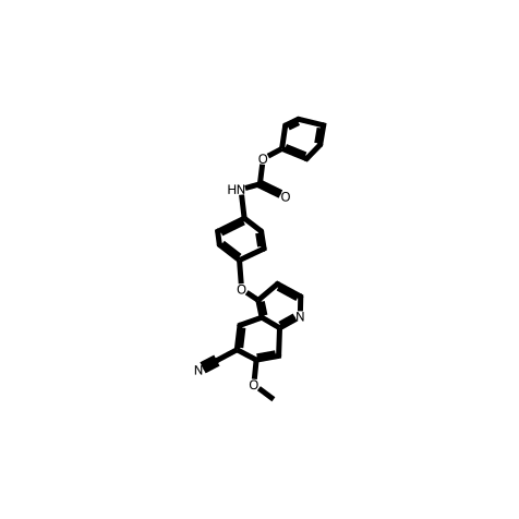 COc1cc2nccc(Oc3ccc(NC(=O)Oc4ccccc4)cc3)c2cc1C#N